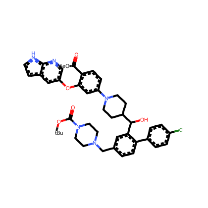 COC(=O)c1ccc(N2CCC(C(O)c3cc(CN4CCN(C(=O)OC(C)(C)C)CC4)ccc3-c3ccc(Cl)cc3)CC2)cc1Oc1cnc2[nH]ccc2c1